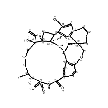 C=C[C@@]1(O)CCC[C@H](C)[C@@H](C)S(=O)(=O)NC(=O)c2ccc3c(c2)N(C[C@@H]2CC[C@H]21)C[C@@]1(CCCc2cc(Cl)ccc21)CO3